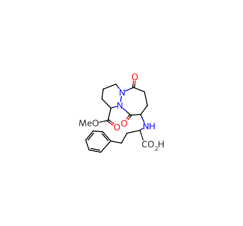 COC(=O)C1CCCN2C(=O)CCC(NC(CCc3ccccc3)C(=O)O)C(=O)N12